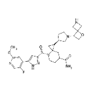 COc1cc(-c2cc(C(=O)N3CCC(C(N)=O)CC34CC4[C@H]3CCN([C@H]4COC45CNC5)C3)n[nH]2)c(F)cn1